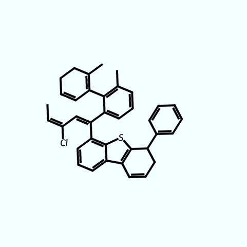 C/C=C(Cl)\C=C(\c1cccc(C)c1C1=C(C)CCC=C1)c1cccc2c3c(sc12)C(c1ccccc1)CC=C3